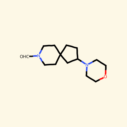 O=CN1CCC2(CCC(N3CCOCC3)C2)CC1